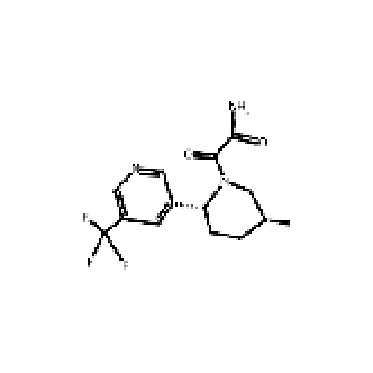 C[C@H]1CC[C@H](c2cncc(C(F)(F)F)c2)N(C(=O)C(N)=O)C1